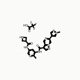 Cc1ncc(NC(=O)C2CNC2)cc1NC(=O)c1cnn2cc(-c3cnn(C)c3)ncc12.O=C(O)C(F)(F)F